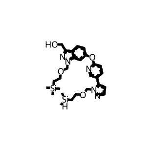 C[SiH](C)CCOCn1nccc1-c1ccc(Oc2ccc3c(CO)nn(COCC[Si](C)(C)C)c3c2)nc1